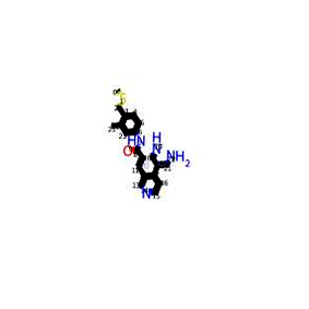 CSCc1ccc(NC(=O)/C=C/c2cnccc2/C(C=N)=C/N)cc1C